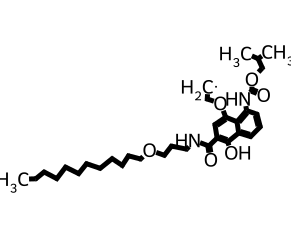 [CH2]COc1cc(C(=O)NCCCOCCCCCCCCCCCC)c(O)c2cccc(NC(=O)OCC(C)C)c12